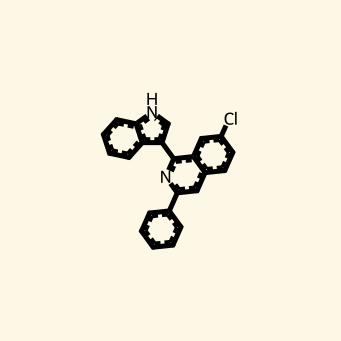 Clc1ccc2cc(-c3ccccc3)nc(-c3c[nH]c4ccccc34)c2c1